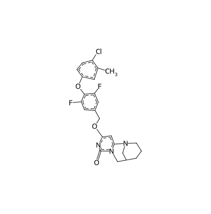 Cc1cc(Oc2c(F)cc(COc3cc4n(c(=O)n3)CC3CCCN4C3)cc2F)ccc1Cl